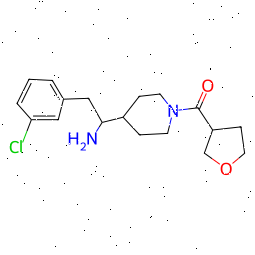 NC(Cc1cccc(Cl)c1)C1CCN(C(=O)C2CCOC2)CC1